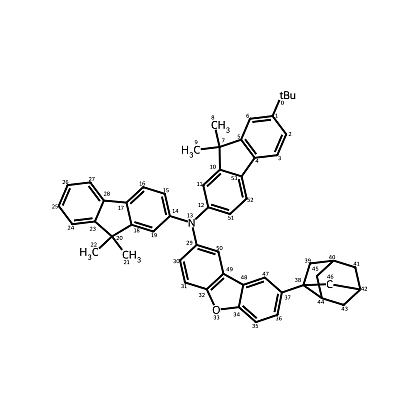 CC(C)(C)c1ccc2c(c1)C(C)(C)c1cc(N(c3ccc4c(c3)C(C)(C)c3ccccc3-4)c3ccc4oc5ccc(C67CC8CC(CC6C8)C7)cc5c4c3)ccc1-2